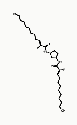 O=C(N[C@@H]1CC[C@H](NC(=O)/C(F)=C/CCCCCCCCO)C1)/C(F)=C/CCCCCCCCO